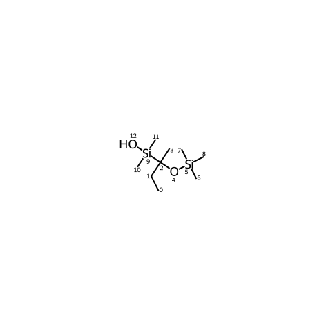 CCC(C)(O[Si](C)(C)C)[Si](C)(C)O